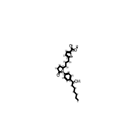 CCCCCC[C@H](O)c1ccc(N2C(=O)CCC2CCCc2ccc(C(=O)OC)s2)cc1